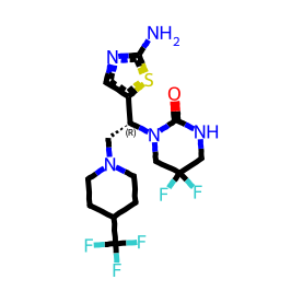 Nc1ncc([C@@H](CN2CCC(C(F)(F)F)CC2)N2CC(F)(F)CNC2=O)s1